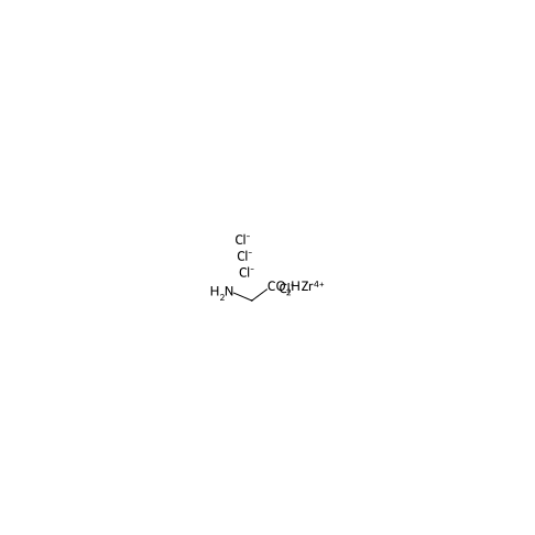 NCC(=O)O.[Cl-].[Cl-].[Cl-].[Cl-].[Zr+4]